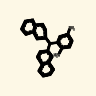 Nc1ccc(N)c(C(c2ccc3ccccc3c2)c2ccc3ccccc3c2)c1